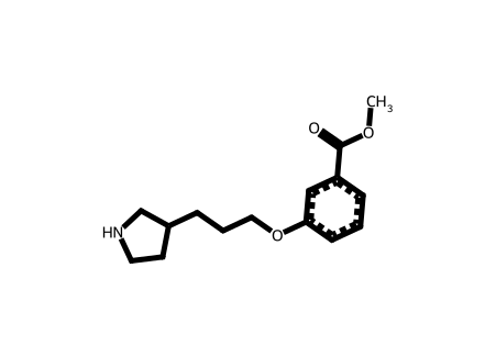 COC(=O)c1cccc(OCCCC2CCNC2)c1